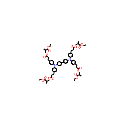 C=C(COC(=O)CCc1ccc(N(C2=CCC(CCC(=O)OCC(=C)C(=O)OCC)C=C2)c2ccc(-c3ccc(N(c4ccc(CCC(=O)OCC(=C)C(=O)OCC)cc4)c4ccc(CCC(=O)OCC(=C)C(=O)OCC)cc4)cc3)cc2)cc1)C(=O)OCC